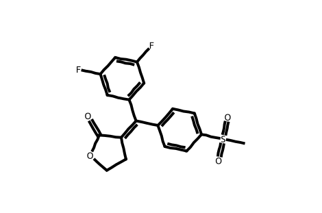 CS(=O)(=O)c1ccc(/C(=C2\CCOC2=O)c2cc(F)cc(F)c2)cc1